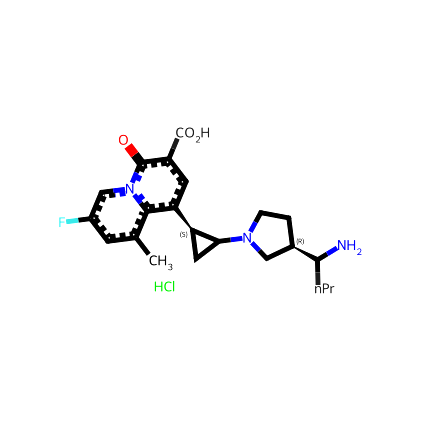 CCCC(N)[C@@H]1CCN(C2C[C@H]2c2cc(C(=O)O)c(=O)n3cc(F)cc(C)c23)C1.Cl